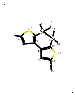 Cc1cc2c(s1)[Si](C)(C)[Si](C)(C)c1sc(C)cc1-2